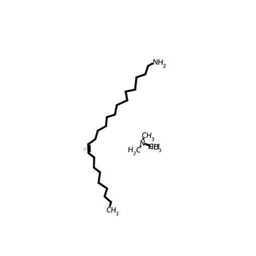 CCCCCCCC/C=C\CCCCCCCCCCCCN.CN(C)C.Cl